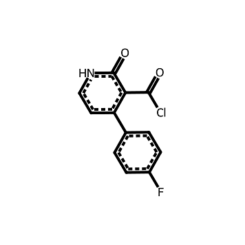 O=C(Cl)c1c(-c2ccc(F)cc2)cc[nH]c1=O